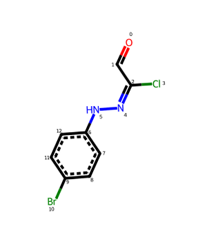 O=C/C(Cl)=N\Nc1ccc(Br)cc1